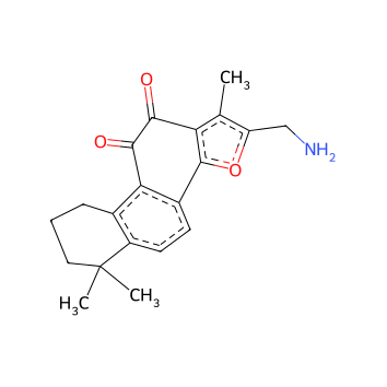 Cc1c(CN)oc2c1C(=O)C(=O)c1c-2ccc2c1CCCC2(C)C